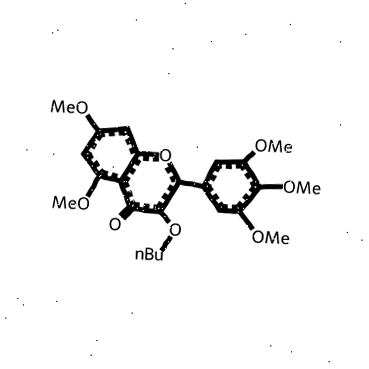 CCCCOc1c(-c2cc(OC)c(OC)c(OC)c2)oc2cc(OC)cc(OC)c2c1=O